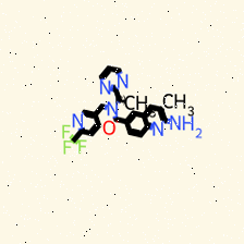 Cc1cc2cc(C(=O)N(Cc3ccc(C(F)(F)F)nc3)[C@H](C)c3ncccn3)ccc2nc1N